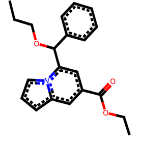 CCCOC(c1ccccc1)c1cc(C(=O)OCC)cc2cccn12